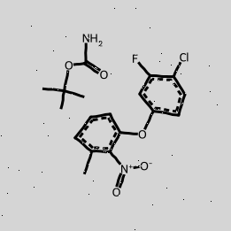 CC(C)(C)OC(N)=O.Cc1cccc(Oc2ccc(Cl)c(F)c2)c1[N+](=O)[O-]